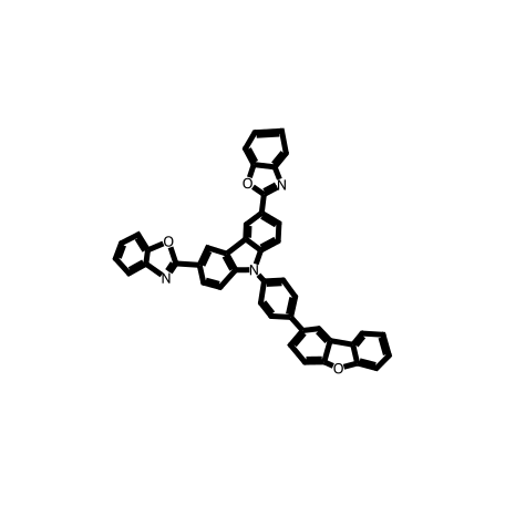 c1ccc2oc(-c3ccc4c(c3)c3cc(-c5nc6ccccc6o5)ccc3n4-c3ccc(-c4ccc5oc6ccccc6c5c4)cc3)nc2c1